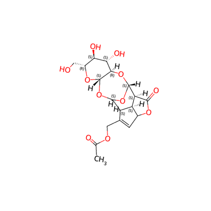 CC(=O)OCC1=CC2OC(=O)[C@@H]3[C@@H]4O[C@@H](O[C@@H]5O[C@H](CO)[C@@H](O)[C@H](O)[C@H]5O4)[C@H]1[C@H]23